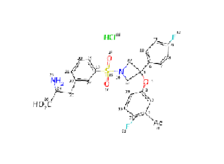 CC(=O)c1cc(OC2(c3ccc(F)cc3)CN(S(=O)(=O)c3cccc(CC(N)C(=O)O)c3)C2)ccc1F.Cl